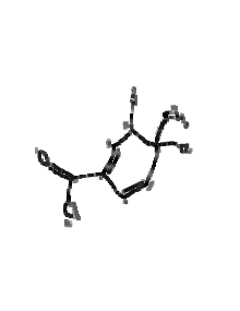 CC1(Cl)C=CC(C(=O)Cl)=CC1Cl